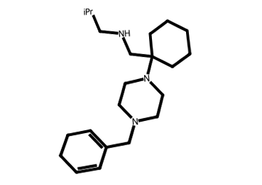 CC(C)CNCC1(N2CCN(CC3=CCCC=C3)CC2)CCCCC1